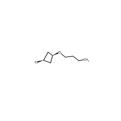 CCCCO[C@H]1C[C@@H](Cl)C1